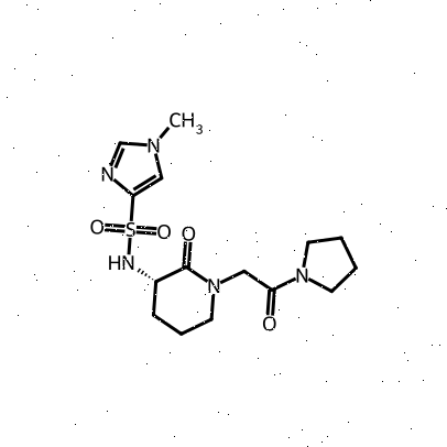 Cn1cnc(S(=O)(=O)N[C@H]2CCCN(CC(=O)N3CCCC3)C2=O)c1